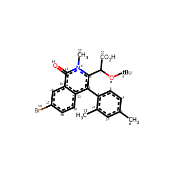 Cc1ccc(-c2c(C(OC(C)(C)C)C(=O)O)n(C)c(=O)c3cc(Br)ccc23)c(C)c1